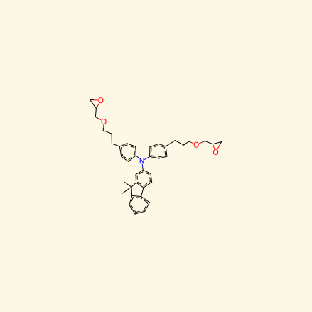 CC1(C)c2ccccc2-c2ccc(N(c3ccc(CCCOCC4CO4)cc3)c3ccc(CCCOCC4CO4)cc3)cc21